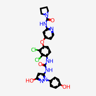 O=C(Nc1ccc(Oc2ccnc(NC(=O)N3CCCC3)c2)c(Cl)c1Cl)Nc1cc(O)nn1-c1ccc(O)cc1